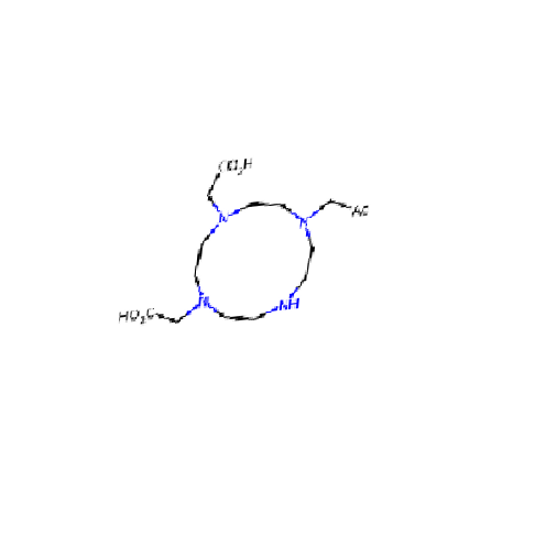 CC(=O)CN1CCNCCN(CC(=O)O)CCN(CC(=O)O)CC1